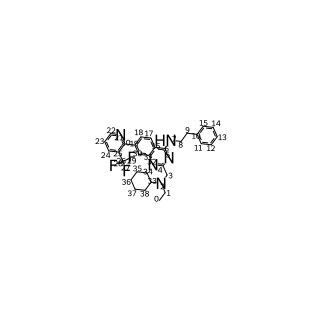 CCN(Cc1nc(NCCc2ccccc2)c2ccc(-c3ncccc3C(F)(F)F)cc2n1)C1CCCCC1